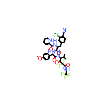 COc1ccc(C(NC(=O)C(Cc2ccc(C#N)c(Cl)c2)NC(=O)c2ccccn2)C(=O)N[C@H](C(=O)C(F)(F)C(=O)NCC(F)(F)F)C(C)C)cc1